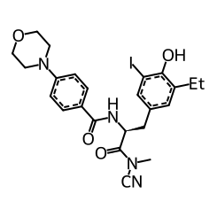 CCc1cc(C[C@H](NC(=O)c2ccc(N3CCOCC3)cc2)C(=O)N(C)C#N)cc(I)c1O